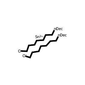 CCCCCCCCCCCCCCCCC[O-].CCCCCCCCCCCCCCCCC[O-].[Sn+2]